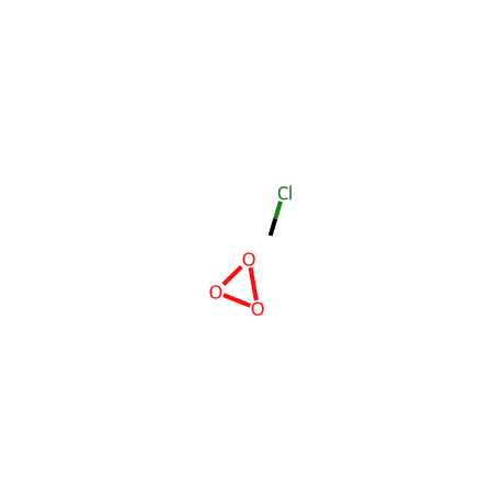 CCl.o1oo1